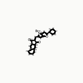 O=C1C(=Cc2cc3oc(-c4ccccc4)cc3n2Br)C(=O)c2cc3ccccc3cc21